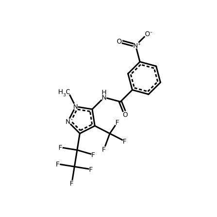 Cn1nc(C(F)(F)C(F)(F)F)c(C(F)(F)F)c1NC(=O)c1cccc([N+](=O)[O-])c1